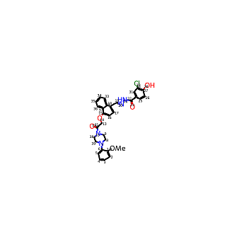 COc1ccccc1N1CCN(C(=O)COc2ccc(/C=N/NC(=O)c3ccc(O)c(Cl)c3)c3ccccc23)CC1